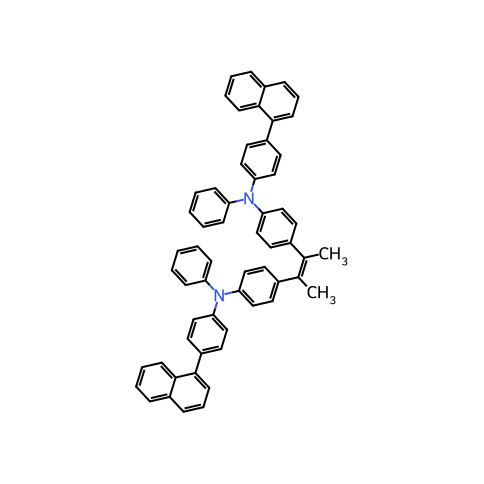 C/C(=C(\C)c1ccc(N(c2ccccc2)c2ccc(-c3cccc4ccccc34)cc2)cc1)c1ccc(N(c2ccccc2)c2ccc(-c3cccc4ccccc34)cc2)cc1